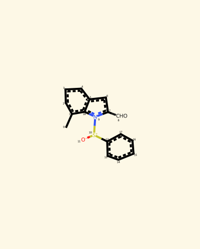 Cc1cccc2cc(C=O)n([S+]([O-])c3ccccc3)c12